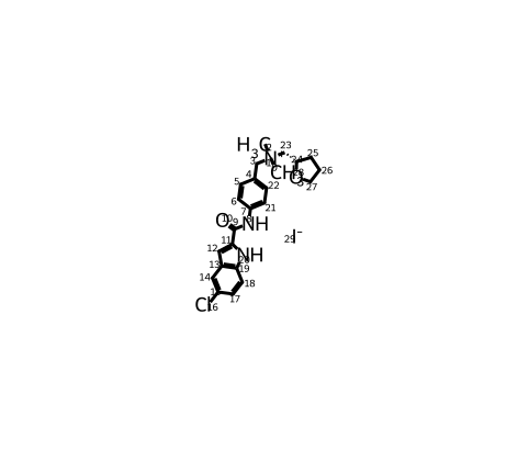 C[N+](C)(Cc1ccc(NC(=O)c2cc3cc(Cl)ccc3[nH]2)cc1)C[C@@H]1CCCO1.[I-]